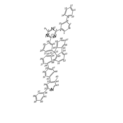 Cc1nc(-c2cccc(-c3ccccc3)c2)nc(-c2cccc(C3(c4cccc(-c5ccc(-c6cc(-c7ccccc7)ncc6C)cc5)c4)c4ccccc4-c4ccccc43)c2)n1